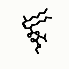 CCCCCCC(C)/C=C\C(CCCCCC)C(=O)OC(C(=O)OCC)C(C)C